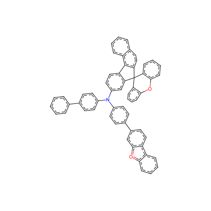 c1ccc(-c2ccc(N(c3ccc(-c4ccc5c(c4)oc4ccccc45)cc3)c3ccc4c(c3)C3(c5ccccc5Oc5ccccc53)c3ccc5ccccc5c3-4)cc2)cc1